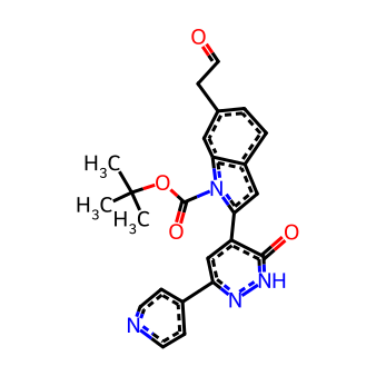 CC(C)(C)OC(=O)n1c(-c2cc(-c3ccncc3)n[nH]c2=O)cc2ccc(CC=O)cc21